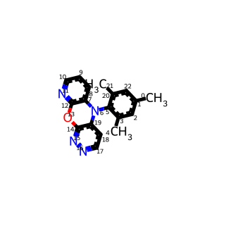 Cc1cc(C)c(N2c3cccnc3Oc3nnccc32)c(C)c1